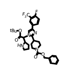 CC(C)(C)OC(=O)C(C1CCCN1)n1cc(-c2ccc(F)c(C(F)(F)F)c2)nc1C1CCN(C(=O)OCc2ccccc2)CC1